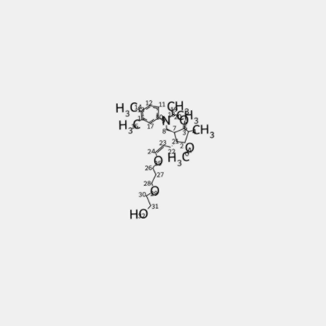 COC1C(C)C(=O)[C@H](CN(c2ccc(C)c(C)c2)C(C)C)[C@H]1C/C=C\OCCCOCCO